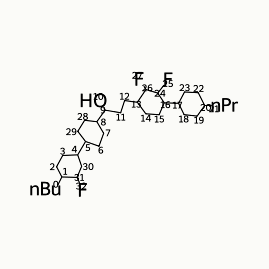 CCCCC1CCC(C2CCC(C(O)CCC3CCC(C4CCC(CCC)CC4)C(F)C3F)CC2)CC1F